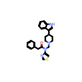 O=C(Cc1ccccc1)N(CN1CCC(c2c[nH]c3ccccc23)CC1)c1cscn1